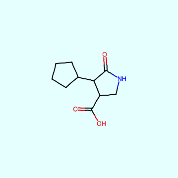 O=C(O)C1CNC(=O)C1C1CCCC1